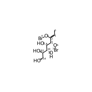 CC=C(OBr)[C@H](OBr)[C@@H](O)[C@H](O)[C@H](O)CO